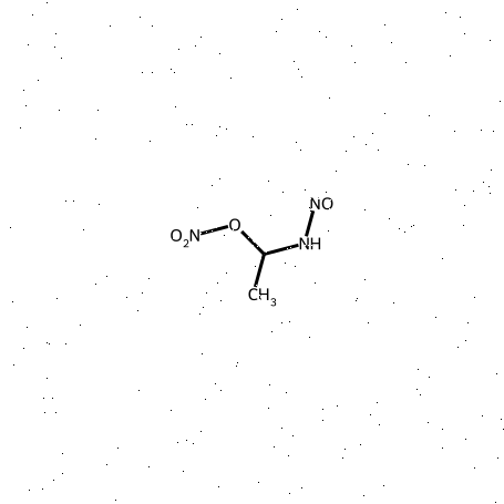 CC(NN=O)O[N+](=O)[O-]